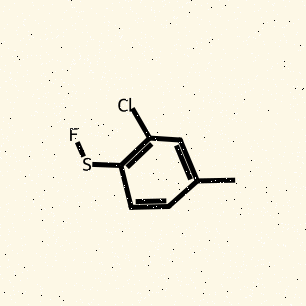 Cc1ccc(SF)c(Cl)c1